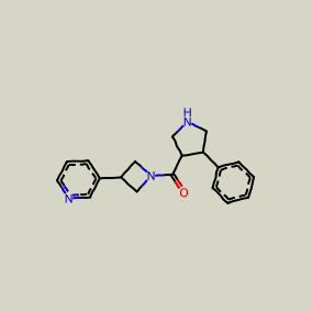 O=C(C1CNCC1c1ccccc1)N1CC(c2cccnc2)C1